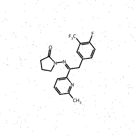 Cc1cccc(C(Cc2ccc(F)c(C(F)(F)F)c2)=NN2CCCC2=O)n1